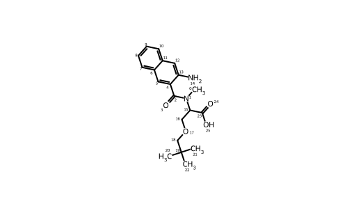 CN(C(=O)c1cc2ccccc2cc1N)C(COCC(C)(C)C)C(=O)O